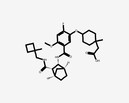 COc1cc(F)c(OC2CCC(C)(CC(=O)O)CC2)cc1C(=O)N[C@@H]1[C@H]2CC[C@H](C2)[C@@H]1C(=O)NCC1(C)CCC1